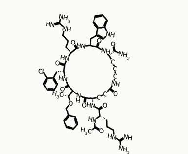 CC(=O)N[C@@H](CCCNC(=N)N)C(=O)N[C@H]1CCC(=O)NCCC[C@@H](C(N)=O)NC(=O)[C@H](Cc2c[nH]c3ccccc23)NC(=O)[C@H](CCCNC(=N)N)NC(=O)[C@@H](Cc2ccccc2Cl)NC(=O)[C@H]([C@@H](C)OCc2ccccc2)NC1=O